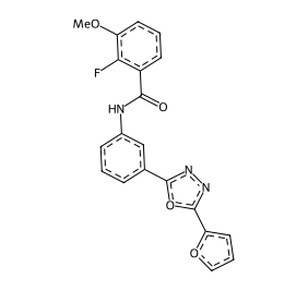 COc1cccc(C(=O)Nc2cccc(-c3nnc(-c4ccco4)o3)c2)c1F